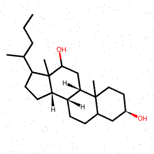 CCCC(C)C1CC[C@H]2[C@H]3CCC4C[C@H](O)CCC4(C)[C@H]3CC(O)C12C